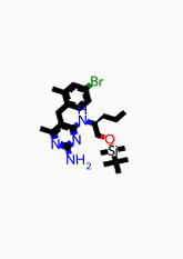 CCC[C@@H](CO[Si](C)(C)C(C)(C)C)Nc1nc(N)nc(C)c1Cc1ccc(Br)cc1C